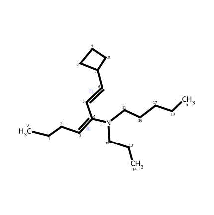 CCC/C=C(\C=C\C1CCC1)N(CCC)CCCCC